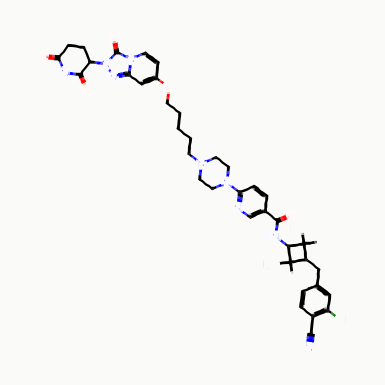 CC1(C)C(Cc2ccc(C#N)c(Cl)c2)C(C)(C)C1NC(=O)c1ccc(N2CCN(CCCCCOc3ccn4c(=O)n(C5CCC(=O)NC5=O)nc4c3)CC2)nc1